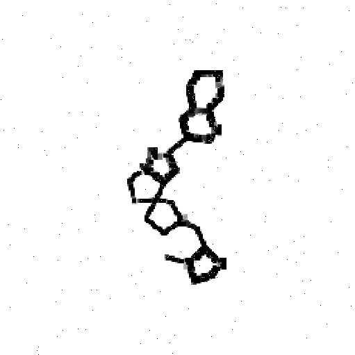 Cn1ccnc1CN1CCC2(CCn3nc(-c4cnc5ccccc5c4)cc32)C1